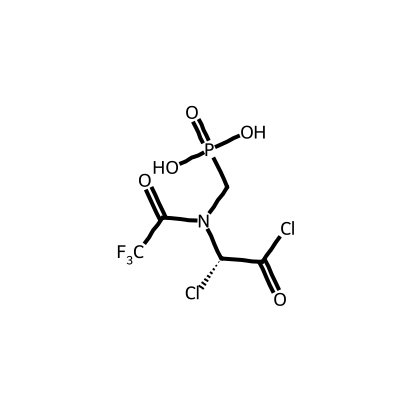 O=C(Cl)[C@H](Cl)N(CP(=O)(O)O)C(=O)C(F)(F)F